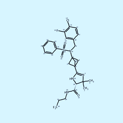 CC1(C)N=C(C23CC(N(Cc4ccc(Cl)c(F)c4)S(=O)(=O)c4ccccc4)(C2)C3)N[C@H]1C(=O)NCCC(F)(F)F